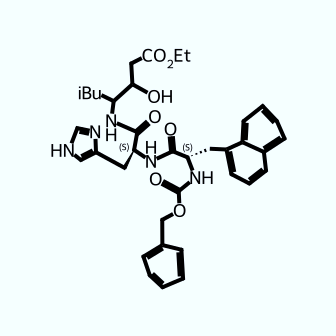 CCOC(=O)CC(O)C(NC(=O)[C@H](Cc1c[nH]cn1)NC(=O)[C@H](Cc1cccc2ccccc12)NC(=O)OCc1ccccc1)C(C)CC